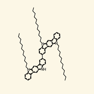 CCCCCCCCCCCCn1c2ccccc2c2cc3[nH]c4ccc(-c5ccc6c(c5)c5cc7c(cc5n6CCCCCCCCCCCC)c5ccccc5n7CCCCCCCCCCCC)cc4c3cc21